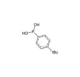 CC(C)(C)c1ccc(P(O)O)cc1